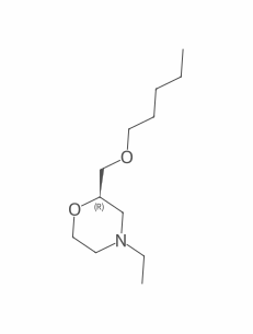 CCCCCOC[C@H]1CN(CC)CCO1